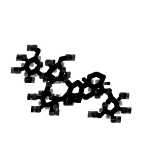 C=C1CC23CC[C@@H]4[C@](C)(C(=O)OC5O[C@H](CO)[C@@H](O)[C@H](O)[C@H]5O)CCC[C@@]4(C)C2CC2O[C@@H]4O[C@H](CO)[C@@H](O)C(O[C@@H]5O[C@H](CO)[C@@H](O)[C@H](O)[C@H]5O)[C@H]4O[C@@H]4O[C@H](C(O)C12C3)[C@@H](O)[C@H](O)[C@H]4O